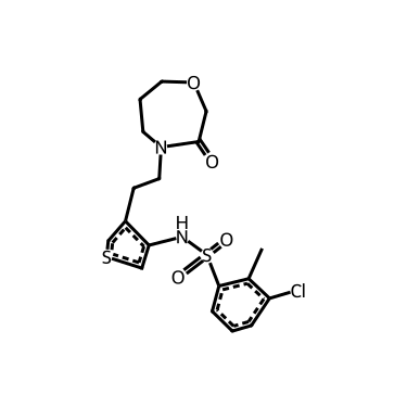 Cc1c(Cl)cccc1S(=O)(=O)Nc1cscc1CCN1CCCOCC1=O